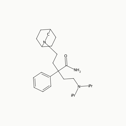 CC(C)N(CCC(CCN1CC2CCC1CC2)(C(N)=O)c1ccccc1)C(C)C